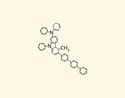 CC1C(c2ccc(-c3ccc(-c4ccccc4)cc3)cc2)=CC=C2C1c1ccc(N(C3=CC=CCC3)c3ccccc3)cc1N2c1ccccc1